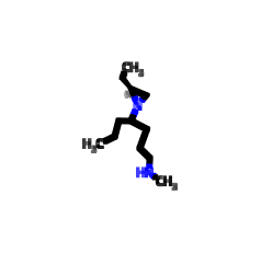 CCCC(CCCNC)N1C[C@@H]1CC